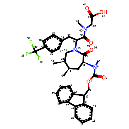 C[C@@H]1C[C@H](N(C)C(=O)OCC2c3ccccc3-c3ccccc32)C(=O)N(C(Cc2ccc(C(F)(F)F)cc2)C(=O)N(C)CC(=O)O)C[C@@H]1C